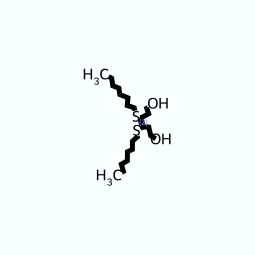 CCCCCCCCS/C(CCO)=C(/CCO)SCCCCCCCC